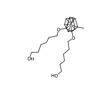 C[C]12[CH]3[CH]4[C]5(OCCCCCCO)[C]1(OCCCCCCO)[Fe]34251678[CH]2[CH]1[CH]6[CH]7[CH]28